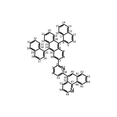 c1cc(-c2ccc3c(-c4cccc5ccccc45)c4ccccc4c(-c4cccc5ccccc45)c3c2)nc(-c2cc3ccccc3c3ncccc23)c1